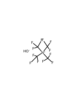 FC(F)(F)[N+](C(F)(F)F)(C(F)(F)F)C(F)(F)F.[OH-]